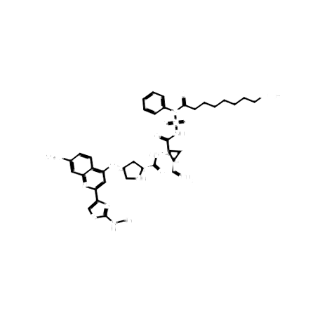 C=C[C@@H]1C[C@]1(NC(=O)[C@@H]1C[C@@H](Oc2cc(-c3csc(NC(C)C)n3)nc3cc(OC)ccc23)CN1)C(=O)NS(=O)(=O)N(C(=O)CCCCCCCC(=O)O)c1ccccc1